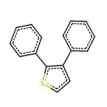 [c]1ccc(-c2ccsc2-c2ccccc2)cc1